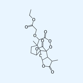 CCOC(=O)COC1C(=O)OOC23C(=O)OC4CCC1(C)C42CC1OC(=O)C(C)C13